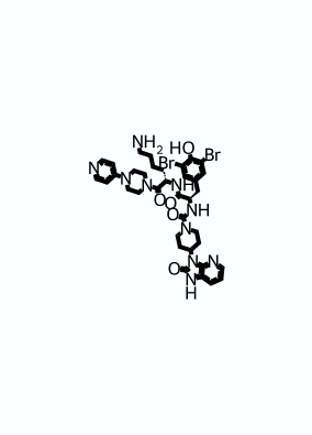 NCCCC[C@H](NC(=O)[C@@H](Cc1cc(Br)c(O)c(Br)c1)NC(=O)N1CCC(n2c(=O)[nH]c3cccnc32)CC1)C(=O)N1CCN(c2ccncc2)CC1